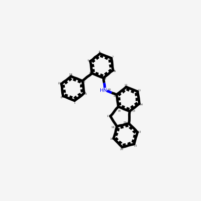 c1ccc(-c2ccccc2Nc2cccc3c2Cc2ccccc2-3)cc1